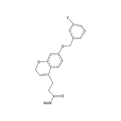 CNC(=O)CCC1=CCOc2cc(OCc3cccc(F)c3)ccc21